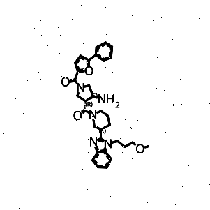 COCCCn1c([C@@H]2CCCN(C(=O)[C@@H]3CN(C(=O)c4ccc(-c5ccccc5)o4)C[C@H]3N)C2)nc2ccccc21